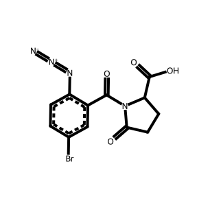 [N-]=[N+]=Nc1ccc(Br)cc1C(=O)N1C(=O)CCC1C(=O)O